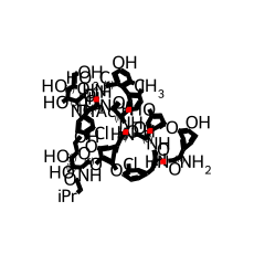 CC(=O)N[C@H]1C(O)[C@H](O)C(CO)O[C@H]1O[C@@H]1c2ccc(c(Cl)c2)Oc2cc3cc(c2O[C@@H]2OC(CO)[C@@H](O)[C@H](O)C2NC(=O)CC(C)C)Oc2ccc(cc2Cl)C[C@H]2NC(=O)[C@H](N)c4ccc(O)c(c4)Oc4cc(O)cc(c4)[C@H](NC2=O)C(=O)N[C@H]3C(=O)N[C@H]2C(=O)N[C@@H]1C(=O)N[C@H](C(=O)O)c1cc(O)cc(C)c1-c1cc2ccc1I